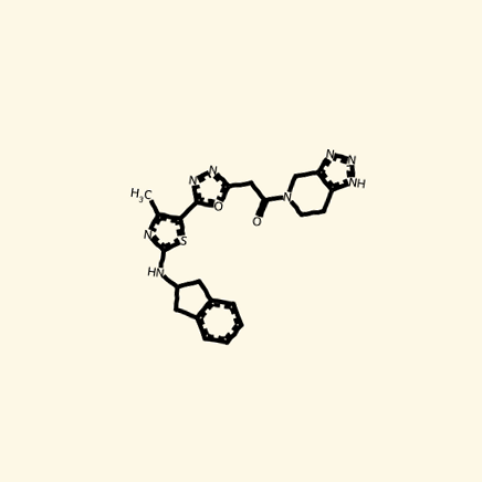 Cc1nc(NC2Cc3ccccc3C2)sc1-c1nnc(CC(=O)N2CCc3[nH]nnc3C2)o1